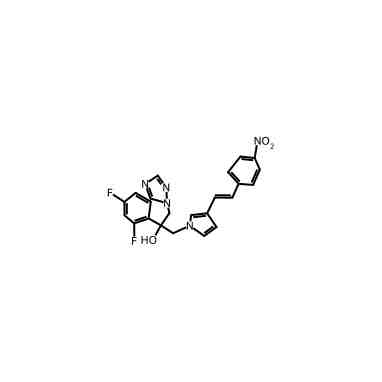 O=[N+]([O-])c1ccc(/C=C/c2ccn(CC(O)(Cn3cncn3)c3ccc(F)cc3F)c2)cc1